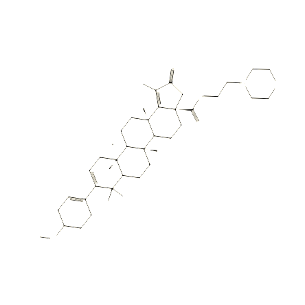 CC(C)C1=C2[C@H]3CC[C@@H]4[C@@]5(C)CC=C(C6=CCC(OC=O)CC6)C(C)(C)[C@@H]5CC[C@@]4(C)[C@]3(C)CC[C@@]2(C(=O)NCCN2CCOCC2)CC1=O